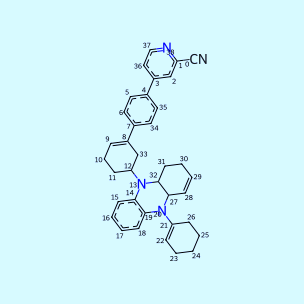 N#Cc1cc(-c2ccc(C3=CCCC(N4c5ccccc5N(C5=CCCCC5)C5C=CCCC54)C3)cc2)ccn1